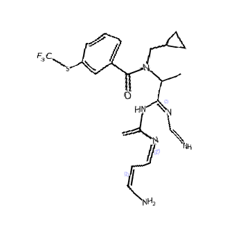 C=C(/N=C\C=C/N)N/C(=N\C=N)C(C)N(CC1CC1)C(=O)c1cccc(SC(F)(F)F)c1